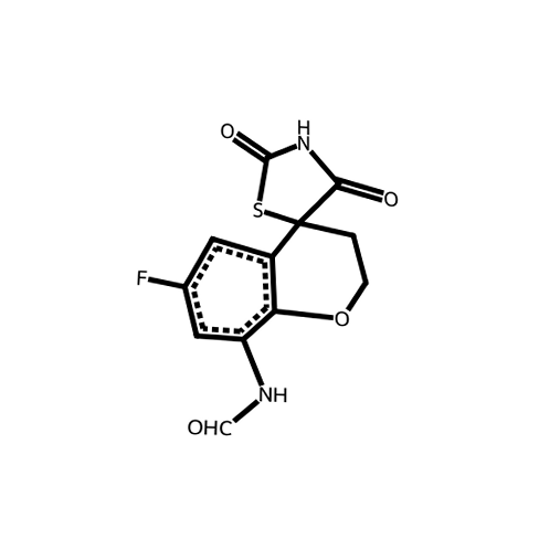 O=CNc1cc(F)cc2c1OCCC21SC(=O)NC1=O